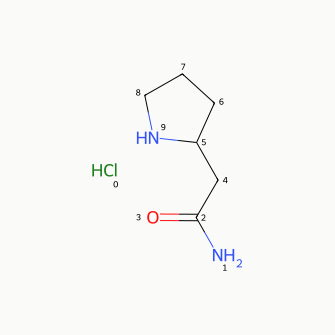 Cl.NC(=O)CC1CCCN1